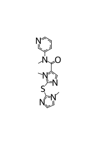 CN(C(=O)c1cnc(Sc2nccn2C)n1C)c1cccnc1